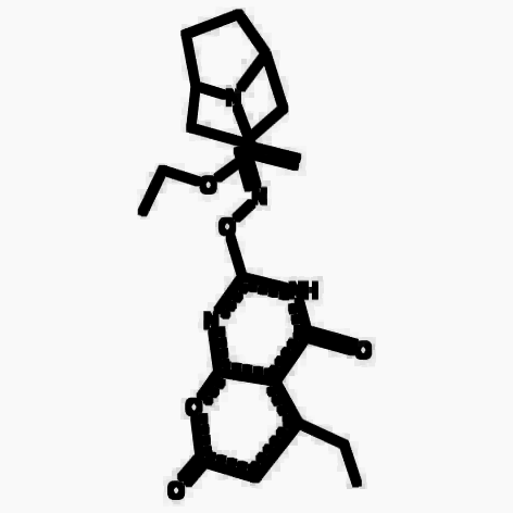 C=C(OCC)N1C2CCC1CC(=NOc1nc3oc(=O)cc(CC)c3c(=O)[nH]1)C2